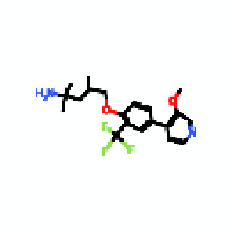 COc1cnccc1-c1ccc(OCC(C)CC(C)(C)N)c(C(F)(F)F)c1